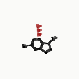 CCc1ccc2c(c1)C=C[CH]2[Ti+3].[Br-].[Br-].[Br-]